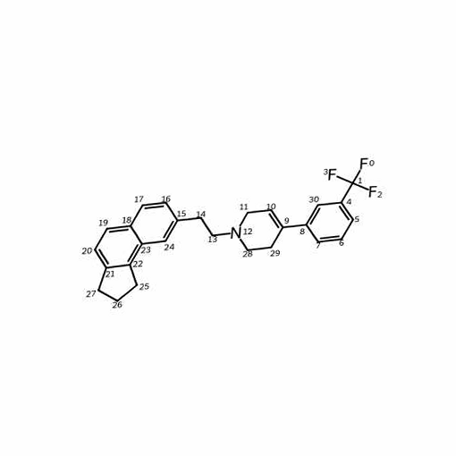 FC(F)(F)c1cccc(C2=CCN(CCc3ccc4ccc5c(c4c3)CCC5)CC2)c1